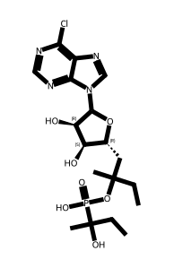 CCC(C)(C[C@H]1OC(n2cnc3c(Cl)ncnc32)[C@H](O)[C@@H]1O)OP(=O)(O)C(C)(O)CC